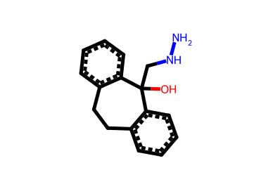 NNCC1(O)c2ccccc2CCc2ccccc21